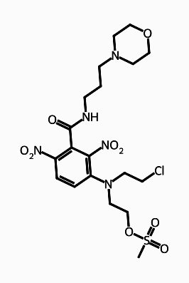 CS(=O)(=O)OCCN(CCCl)c1ccc([N+](=O)[O-])c(C(=O)NCCCN2CCOCC2)c1[N+](=O)[O-]